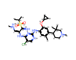 CN/C=C(/Nc1nc(Nc2cc(C)c(C3CCN(C)CC3(C)C)cc2OC2CC2)ncc1Cl)C(=N)S(=O)(=O)C(C)C